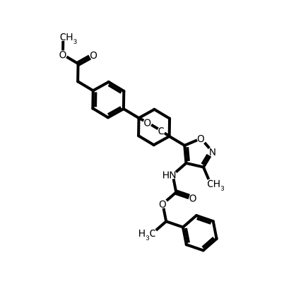 COC(=O)Cc1ccc(C23CCC(c4onc(C)c4NC(=O)OC(C)c4ccccc4)(CC2)CO3)cc1